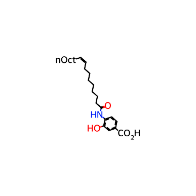 CCCCCCCC/C=C\CCCCCCCC(=O)Nc1ccc(C(=O)O)cc1O